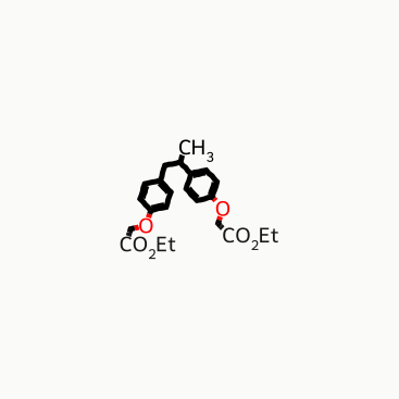 CCOC(=O)COc1ccc(CC(C)c2ccc(OCC(=O)OCC)cc2)cc1